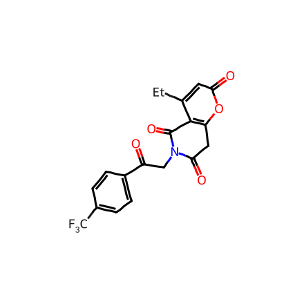 CCc1cc(=O)oc2c1C(=O)N(CC(=O)c1ccc(C(F)(F)F)cc1)C(=O)C2